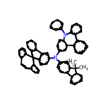 CC1(C)c2ccccc2-c2ccc(N(c3ccc4c(c3)-c3ccccc3-c3ccccc3N4c3ccccc3)c3ccc4c(c3)-c3ccccc3C43c4ccccc4C=Cc4ccccc43)cc21